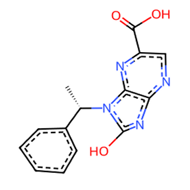 C[C@@H](c1ccccc1)n1c(O)nc2ncc(C(=O)O)nc21